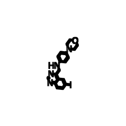 Ic1ccc2ncnc(CNc3ccc(N4CCOCC4)cc3)c2c1